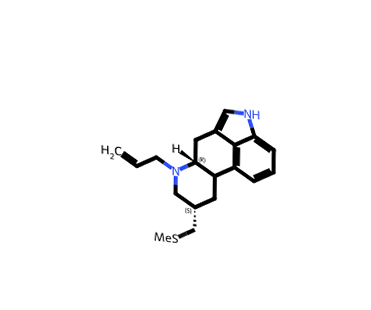 C=CCN1C[C@@H](CSC)CC2c3cccc4[nH]cc(c34)C[C@H]21